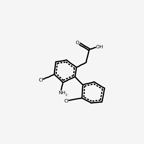 Nc1c(Cl)ccc(CC(=O)O)c1-c1ccccc1Cl